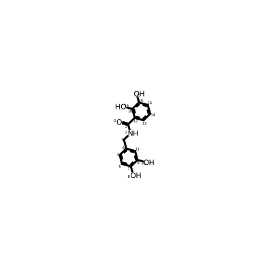 O=C(NCc1ccc(O)c(O)c1)c1cccc(O)c1O